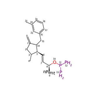 C=C1CC(C)[C@H](/C=C/[C@H](CCCCC)OP(P)P)C1Cc1cccc(C)c1